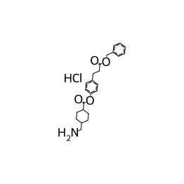 Cl.NCC1CCC(C(=O)Oc2ccc(CCC(=O)OCc3ccccc3)cc2)CC1